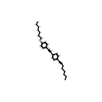 CCCCCCC#Cc1ccc(C#Cc2ccc(OCCCCCCC)cc2)cc1